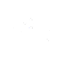 N=C(/N=c1/ccc2ccccc2[nH]1)c1ccc2c(c1)C1(c3ccccc3-2)c2ccccc2N(c2ccccc2)c2ccccc21